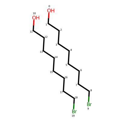 OCCCCCCCCBr.OCCCCCCCCBr